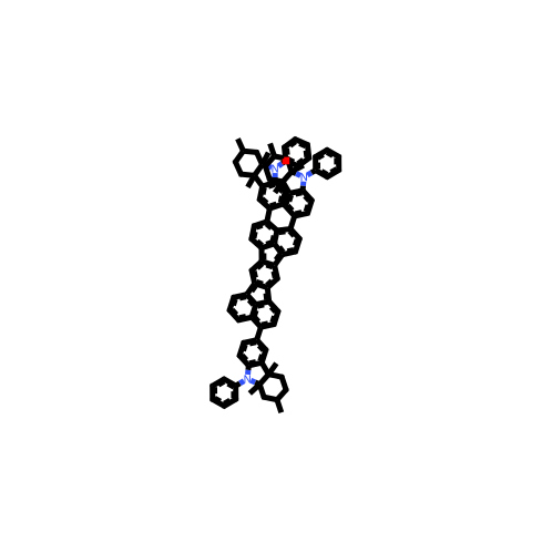 CC1CCC2(C)c3cc(-c4ccc5c6cc7c(cc6c6cccc4c65)c4ccc(-c5ccc6c(c5)C5(C)CCC(C)CC5(C)N6c5ccccc5)c5c(-c6ccc8c(c6)C6(C)CCC(C)CC6(C)N8c6ccccc6)ccc7c54)ccc3N(c3ccccc3)C2(C)C1